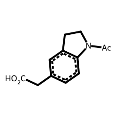 CC(=O)N1CCc2cc(CC(=O)O)ccc21